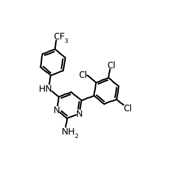 Nc1nc(Nc2ccc(C(F)(F)F)cc2)cc(-c2cc(Cl)cc(Cl)c2Cl)n1